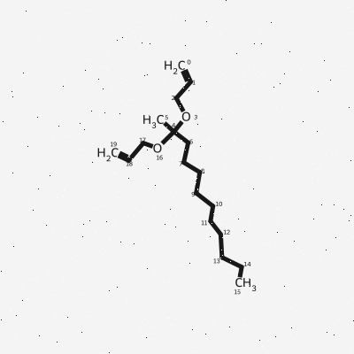 C=CCOC(C)(CCCCCCCCCC)OCC=C